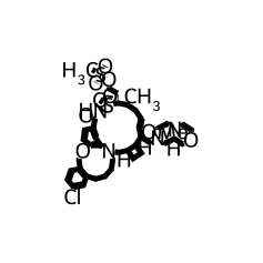 CO[C@@]1(CN2CCN3CCOC[C@@H]3C2)/C=C/C[C@H](C)[C@@H](CCOS(C)(=O)=O)S(=O)(=O)NC(=O)c2ccc3c(c2)N(CCCCc2cc(Cl)ccc2CO3)C[C@@H]2CC[C@H]21